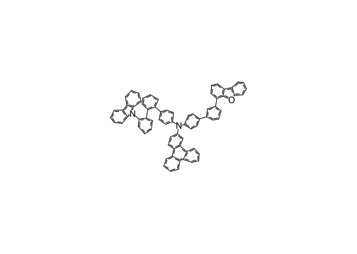 c1cc(-c2ccc(N(c3ccc(-c4ccccc4-c4ccccc4-n4c5ccccc5c5ccccc54)cc3)c3ccc4c5ccccc5c5ccccc5c4c3)cc2)cc(-c2cccc3c2oc2ccccc23)c1